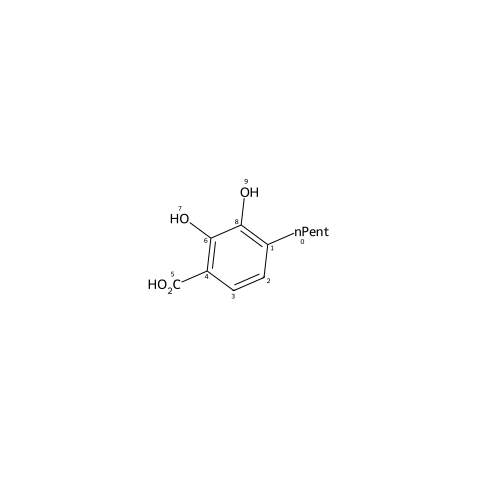 CCCCCc1ccc(C(=O)O)c(O)c1O